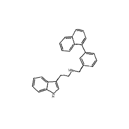 c1cc(CNCCc2c[nH]c3ccccc23)cc(-c2cccc3ccccc23)c1